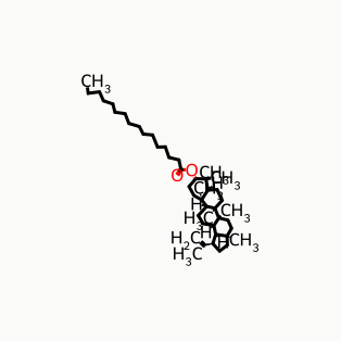 C=C(C)[C@@H]1CC[C@]2(C)CC[C@]3(C)[C@H](CC[C@@H]4[C@@]5(C)CCC(OC(=O)CCCCCCCCCCCCCCC)C(C)(C)[C@@H]5CC[C@]43C)[C@@H]12